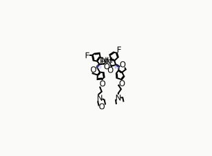 CCN(CC)CCCOc1ccc2c(c1)CO/C2=C1/C(=O)Nc2ccc(F)cc21.O=C1Nc2ccc(F)cc2/C1=C1\OCc2cc(OCCCN3CCOCC3)ccc21